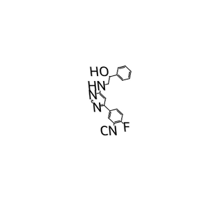 N#Cc1cc(-c2cc(NC[C@@H](O)c3ccccc3)ncn2)ccc1F